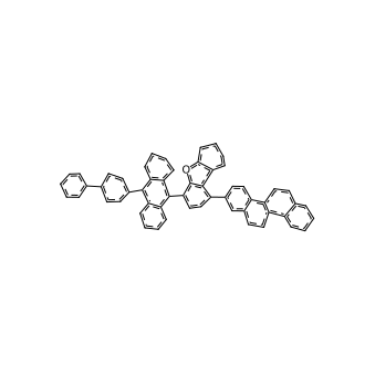 c1ccc(-c2ccc(-c3c4ccccc4c(-c4ccc(-c5ccc6c(ccc7c8ccccc8ccc67)c5)c5c4oc4ccccc45)c4ccccc34)cc2)cc1